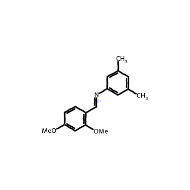 COc1ccc(/C=N/c2cc(C)cc(C)c2)c(OC)c1